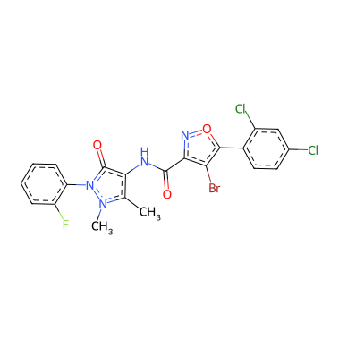 Cc1c(NC(=O)c2noc(-c3ccc(Cl)cc3Cl)c2Br)c(=O)n(-c2ccccc2F)n1C